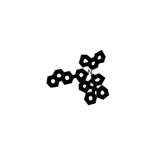 c1ccc(C2(c3ccccc3)c3ccccc3-c3c(N(c4ccc(-c5ccc6c(ccc7ccccc76)c5)cc4)c4cc5ccccc5c5ccccc45)cccc32)cc1